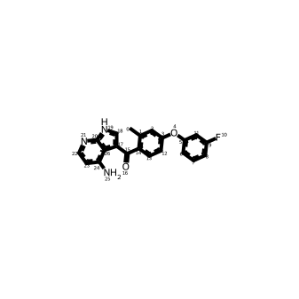 Cc1cc(Oc2cccc(F)c2)ccc1C(=O)c1c[nH]c2nccc(N)c12